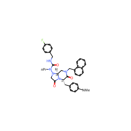 CCCN(C(=O)NCc1ccc(F)cc1)N1CC(=O)N2[C@@H](Cc3ccc(NC)cc3)C(=O)N(Cc3cccc4ccccc34)C[C@@H]21